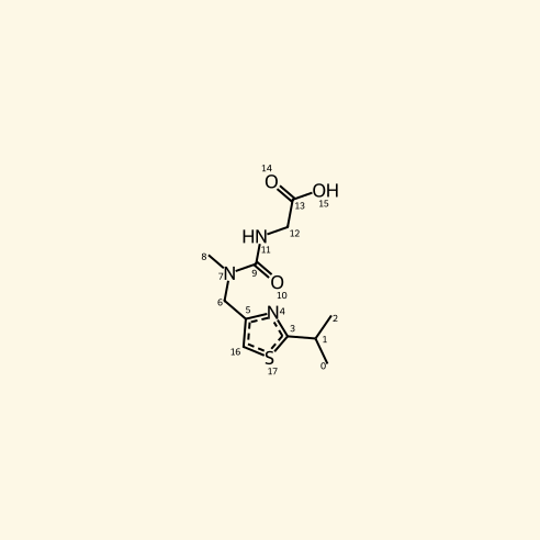 CC(C)c1nc(CN(C)C(=O)NCC(=O)O)cs1